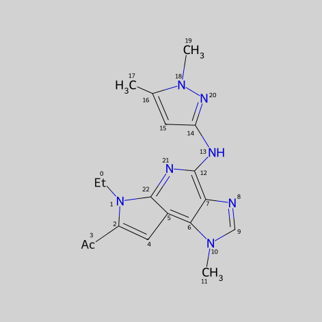 CCn1c(C(C)=O)cc2c3c(ncn3C)c(Nc3cc(C)n(C)n3)nc21